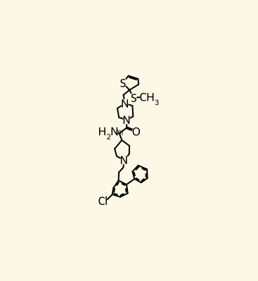 CSC1(CN2CCN(C(=O)[C@H](N)C3CCN(CCc4cc(Cl)ccc4-c4ccccc4)CC3)CC2)CC=CS1